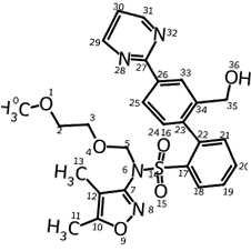 COCCOCN(c1noc(C)c1C)S(=O)(=O)c1ccccc1-c1ccc(-c2ncccn2)cc1CO